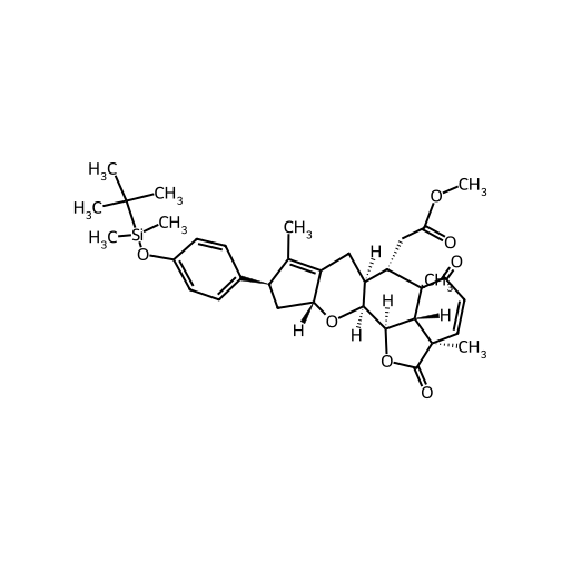 COC(=O)C[C@H]1[C@@H]2CC3=C(C)[C@H](c4ccc(O[Si](C)(C)C(C)(C)C)cc4)C[C@H]3O[C@@H]2[C@@H]2OC(=O)[C@]3(C)C=CC(=O)[C@@]1(C)[C@@H]23